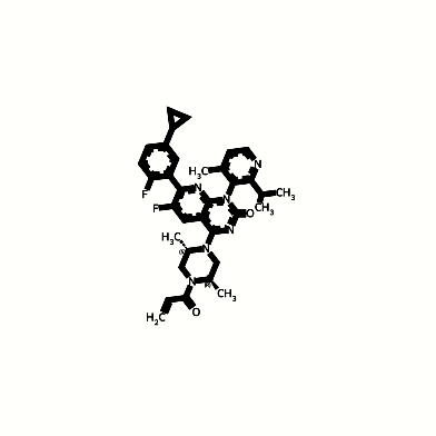 C=CC(=O)N1C[C@H](C)N(c2nc(=O)n(-c3c(C)ccnc3C(C)C)c3nc(-c4cc(C5CC5)ccc4F)c(F)cc23)C[C@H]1C